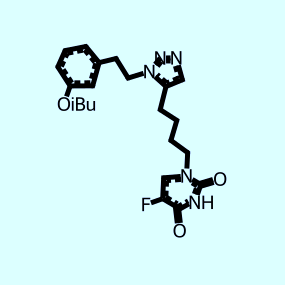 CC(C)COc1cccc(CCn2nncc2CCCCn2cc(F)c(=O)[nH]c2=O)c1